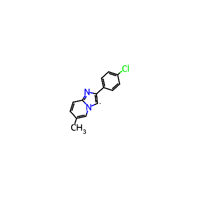 Cc1ccc2nc(-c3ccc(Cl)cc3)[c]n2c1